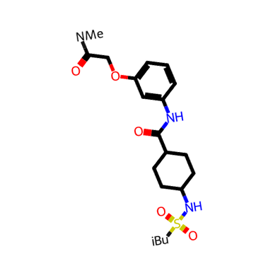 CCC(C)S(=O)(=O)NC1CCC(C(=O)Nc2cccc(OCC(=O)NC)c2)CC1